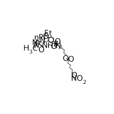 CCCc1nn(C)c2c(=O)[nH]c(-c3cc(S(=O)(=O)N4CC(CCCOC(=O)CCCCCO[N+](=O)[O-])C4)ccc3OCC)nc12